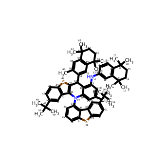 Cc1cc(Nc2ccc3c(c2)C(C)(C)CCC3(C)C)c2c(c1)N(c1cccc3sc4ccc(C(C)(C)C)cc4c13)c1c(sc3ccc(C(C)(C)C)cc13)C2c1cc2c(cc1C)C(C)(C)CCC2(C)C